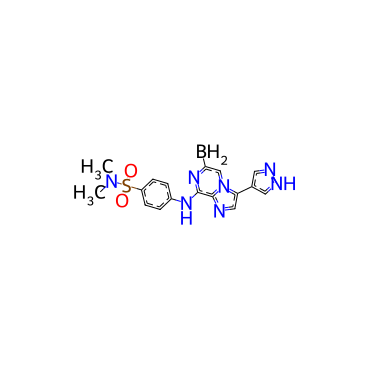 Bc1cn2c(-c3cn[nH]c3)cnc2c(Nc2ccc(S(=O)(=O)N(C)C)cc2)n1